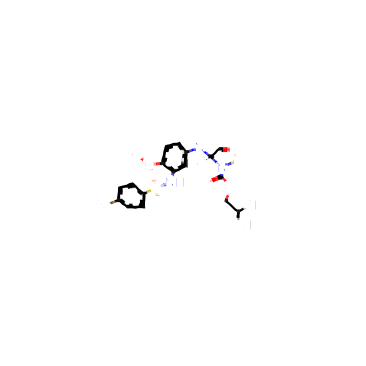 COc1ccc(N[C@](C)(C=O)N(C)C(=O)OCC(C)C)cc1NS(=O)(=O)c1ccc(Br)cc1